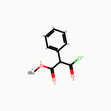 CC(C)(C)OC(=O)C(C(=O)Cl)c1ccccc1